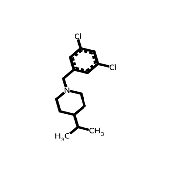 CC(C)C1CCN(Cc2cc(Cl)cc(Cl)c2)CC1